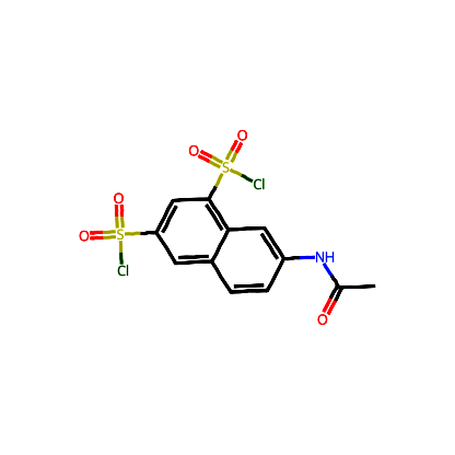 CC(=O)Nc1ccc2cc(S(=O)(=O)Cl)cc(S(=O)(=O)Cl)c2c1